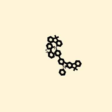 CC1(C)c2ccccc2-c2cc3c4cc(-c5ccc(N(c6cccc7c6-c6ccccc6C7(C)C)c6cccc7sc8ccccc8c67)cc5)ccc4n(-c4ccccc4)c3cc21